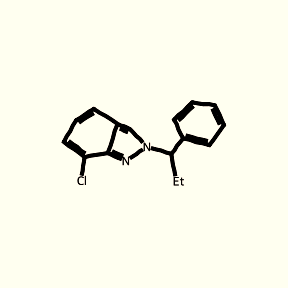 [CH2]CC(c1ccccc1)n1cc2cccc(Cl)c2n1